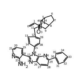 C=CC(=O)N1C2CCC1CN(Cc1ccc(-n3c(-c4cccnc4N)nc4ccc(-c5ccccc5)nc43)cc1)C2